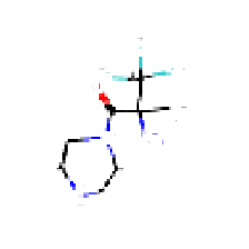 CC(N)(C(=O)N1CCNCC1)C(F)(F)F